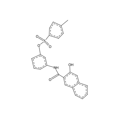 Cc1ccc(S(=O)(=O)Oc2cccc(NC(=O)c3cc4ccccc4cc3O)c2)cc1